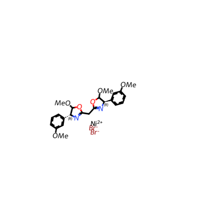 COc1cccc([C@H]2N=C(CC3=N[C@H](c4cccc(OC)c4)C(OC)O3)OC2OC)c1.[Br-].[Br-].[Ni+2]